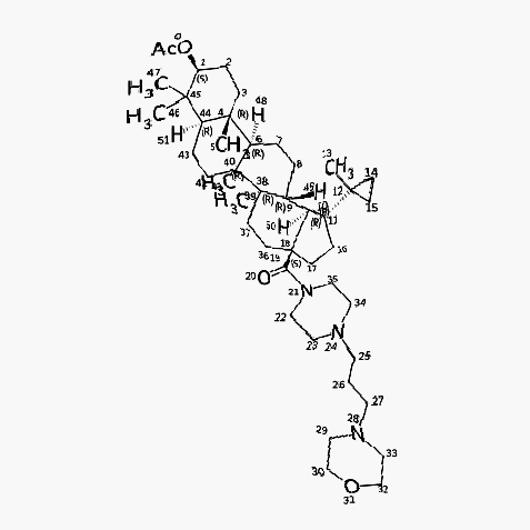 CC(=O)O[C@H]1CC[C@]2(C)[C@H]3CC[C@@H]4[C@H]5[C@H](C6(C)CC6)CC[C@]5(C(=O)N5CCN(CCCN6CCOCC6)CC5)CC[C@@]4(C)[C@]3(C)CC[C@H]2C1(C)C